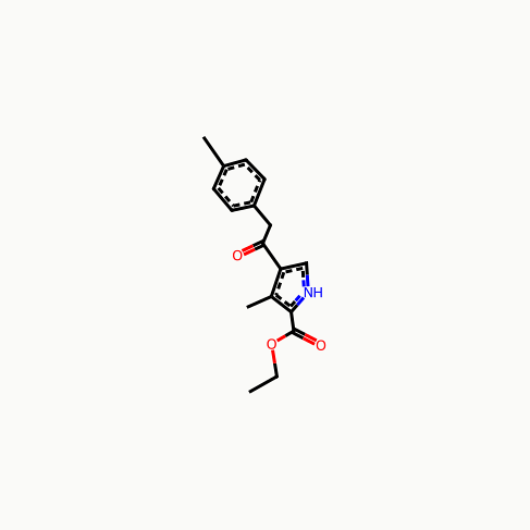 CCOC(=O)c1[nH]cc(C(=O)Cc2ccc(C)cc2)c1C